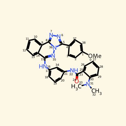 COc1ccc(-c2nnc3c4ccccc4c(Nc4cccc(NC(=O)c5ccccc5N(C)C)c4)nn23)cc1